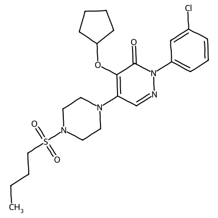 CCCCS(=O)(=O)N1CCN(c2cnn(-c3cccc(Cl)c3)c(=O)c2OC2CCCC2)CC1